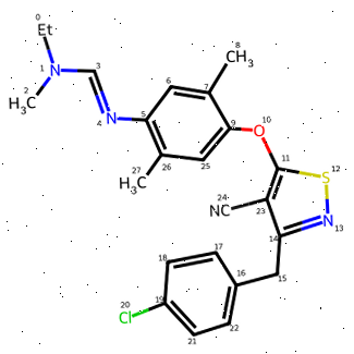 CCN(C)/C=N/c1cc(C)c(Oc2snc(Cc3ccc(Cl)cc3)c2C#N)cc1C